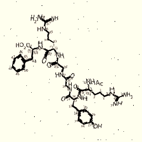 CC(=O)N[C@@H](CCCNC(=N)N)C(=O)N[C@@H](Cc1ccc(O)cc1)C(=O)NCC(=O)NCC(=O)N[C@@H](CCCNC(=N)N)C(=O)N[C@@H](Cc1ccccc1)C(=O)O